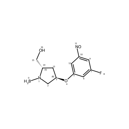 BN1C[C@H](Oc2cc(F)cc(N=O)c2)C[C@H]1CO